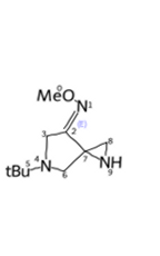 CO/N=C1\CN(C(C)(C)C)CC12CN2